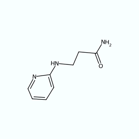 NC(=O)CCNc1ccccn1